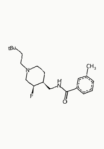 Cc1cccc(C(=O)NC[C@@H]2CCN(CCC(C)(C)C)C[C@@H]2F)c1